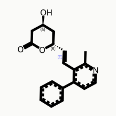 Cc1nccc(-c2ccccc2)c1/C=C/[C@H]1C[C@H](O)CC(=O)O1